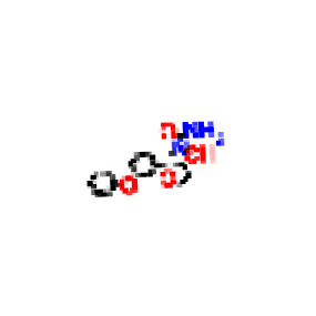 NC(=O)N(O)CC1(c2cccc(Oc3ccccc3)c2)CCCO1